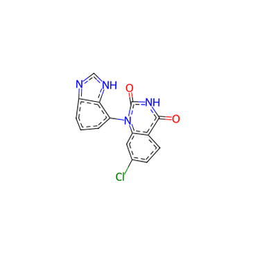 O=c1[nH]c(=O)n(-c2cccc3nc[nH]c23)c2cc(Cl)ccc12